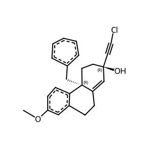 COc1ccc2c(c1)CCC1=C[C@@](O)(C#CCl)CC[C@@]12Cc1ccccc1